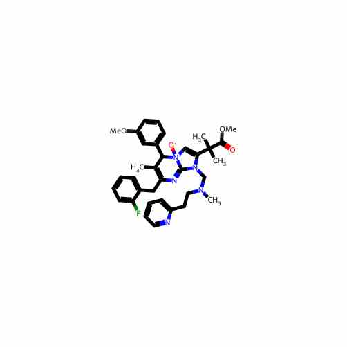 COC(=O)C(C)(C)C1=C[N+]2([O-])C(=NC(Cc3ccccc3F)=C(C)C2c2cccc(OC)c2)N1CN(C)CCc1ccccn1